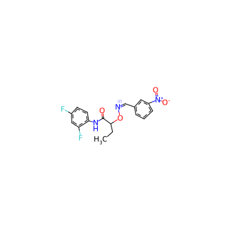 CCC(O/N=C\c1cccc([N+](=O)[O-])c1)C(=O)Nc1ccc(F)cc1F